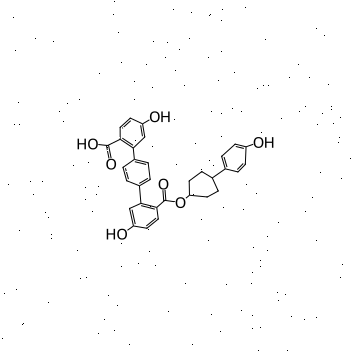 O=C(O)c1ccc(O)cc1-c1ccc(-c2cc(O)ccc2C(=O)OC2CCC(c3ccc(O)cc3)CC2)cc1